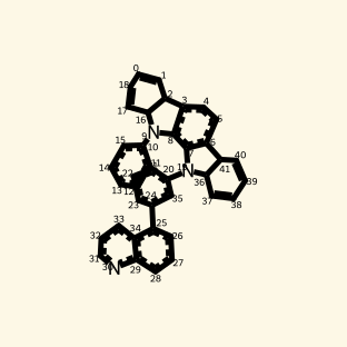 C1=CC2c3ccc4c(c3N(c3ccccc3)C2C=C1)N(c1cccc(-c2cccc3ncccc23)c1)C1C=CC=CC41